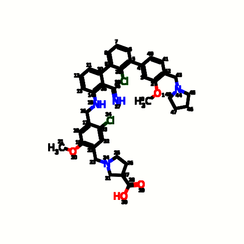 COc1cc(-c2cccc(-c3cccc(NCc4cc(OC)c(CN5CCC(C(=O)O)C5)cc4Cl)c3C=N)c2Cl)ccc1CN1CCCC1